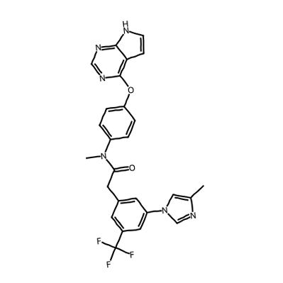 Cc1cn(-c2cc(CC(=O)N(C)c3ccc(Oc4ncnc5[nH]ccc45)cc3)cc(C(F)(F)F)c2)cn1